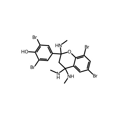 CNC1(NC)CC(NC)(c2cc(Br)c(O)c(Br)c2)Oc2c(Br)cc(Br)cc21